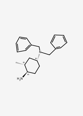 C[C@@H]1C[C@H](N(Cc2ccccc2)Cc2ccccc2)CC[C@H]1N